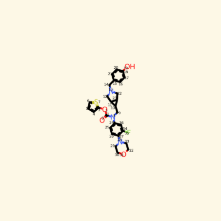 O=C(Oc1cccs1)N(CC1C2CN(Cc3ccc(O)cc3)CC21)c1ccc(N2CCOCC2)c(F)c1